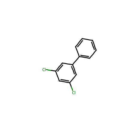 Clc1[c]c(Cl)cc(-c2ccccc2)c1